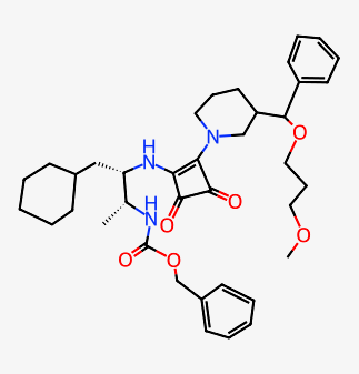 COCCCOC(c1ccccc1)C1CCCN(c2c(N[C@@H](CC3CCCCC3)[C@@H](C)NC(=O)OCc3ccccc3)c(=O)c2=O)C1